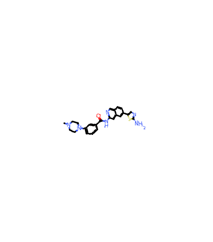 CN1CCN(c2cccc(C(=O)Nc3cc4cc(-c5cnc(N)s5)ccc4cn3)c2)CC1